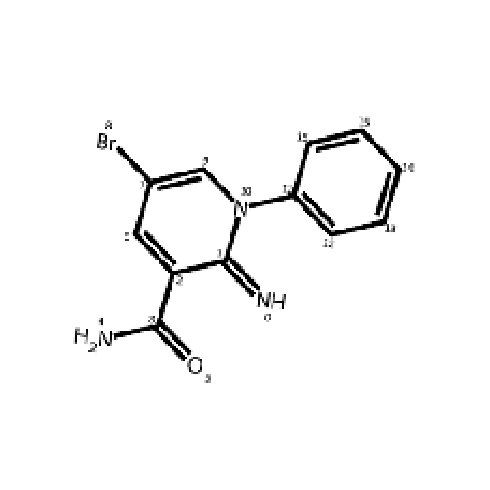 N=c1c(C(N)=O)cc(Br)cn1-c1ccccc1